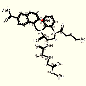 COC(=O)c1ccc2c(CN3C(=O)[C@@H](NC(=O)[C@H](C)NCC(=O)OC(C)(C)C)CN(C(=O)CCCC(C)=O)c4ccccc43)c(OC)ccc2c1